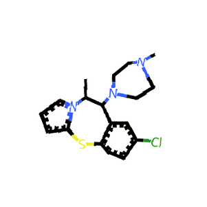 CC1C(N2CCN(C)CC2)c2cc(Cl)ccc2Sc2cccn21